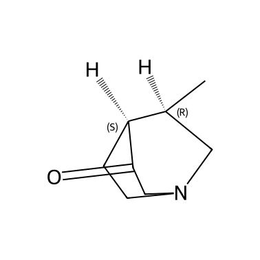 C[C@H]1CN2CC[C@@H]1C(=O)C2